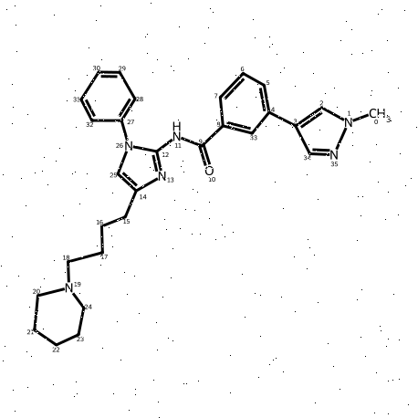 Cn1cc(-c2cccc(C(=O)Nc3nc(CCCCN4CCCCC4)cn3-c3ccccc3)c2)cn1